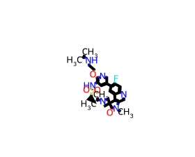 CC(C)NCCOc1ncc(-c2cc3c4c(cnc3cc2F)N(C)C(=O)C42CN(C(C)C)C2)cc1NS(=O)(=O)C1CC1